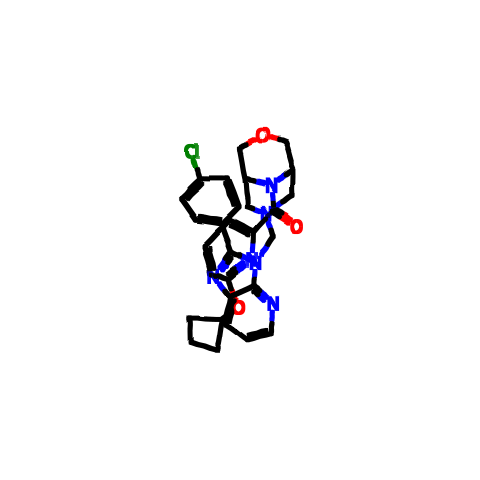 O=C(c1cccc(OC2CCC2)n1)N1C2COCC1CN(Cn1c(-c3ccc(Cl)cc3)nc3cccnc31)C2